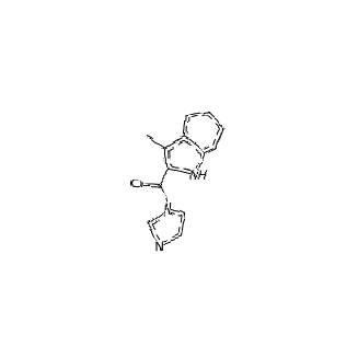 Cc1c(C(=O)n2ccnc2)[nH]c2ccccc12